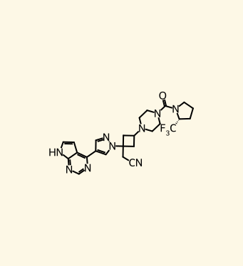 N#CCC1(n2cc(-c3ncnc4[nH]ccc34)cn2)CC(N2CCN(C(=O)N3CCC[C@@H]3C(F)(F)F)CC2)C1